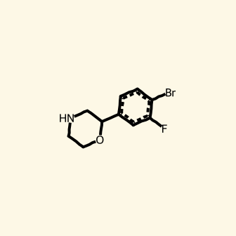 Fc1cc(C2CNCCO2)ccc1Br